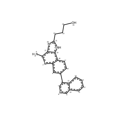 Nc1nc2cc(-c3cncc4ccccc34)ccc2c2[nH]c(CCCO)nc12